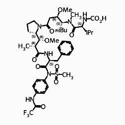 CC[C@@H](C)[C@@H]([C@@H](CC(=O)N1CCC[C@H]1[C@H](OC)[C@@H](C)C(=O)N[C@@H](Cc1ccccc1)C(=O)N(c1ccc(NC(=O)C(F)(F)F)cc1)S(C)(=O)=O)OC)N(C)C(=O)[C@@H](NC(=O)O)C(C)C